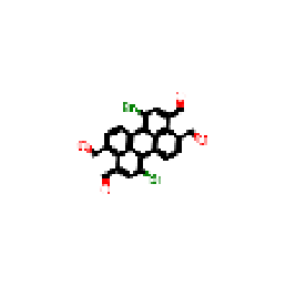 O=[C]c1ccc2c3c(Br)cc([C]=O)c4c([C]=O)ccc(c5c(Br)cc([C]=O)c1c25)c43